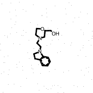 OCC1CN(CCN2CCc3ccccc32)CCO1